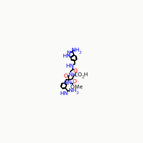 COC(=O)NC(CCC(=O)O)(Cc1cccc(C(=N)N)c1)C(=O)NCC(=O)NCc1ccc2c(N)n[nH]c2c1